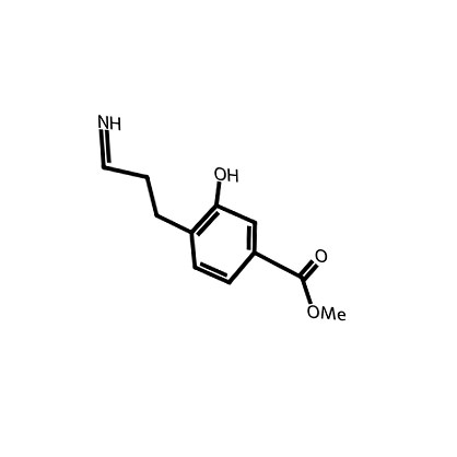 COC(=O)c1ccc(CCC=N)c(O)c1